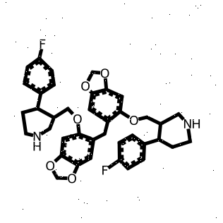 Fc1ccc(C2CCNCC2COc2cc3c(cc2Cc2cc4c(cc2OCC2CNCCC2c2ccc(F)cc2)OCO4)OCO3)cc1